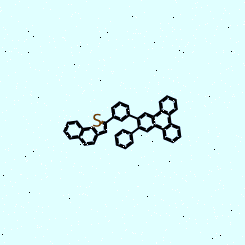 c1ccc(-c2cc3c4ccccc4c4ccccc4c3cc2-c2cccc(-c3cc4ccc5ccccc5c4s3)c2)cc1